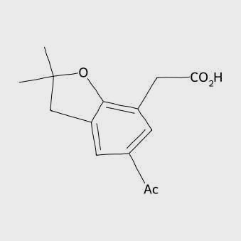 CC(=O)c1cc(CC(=O)O)c2c(c1)CC(C)(C)O2